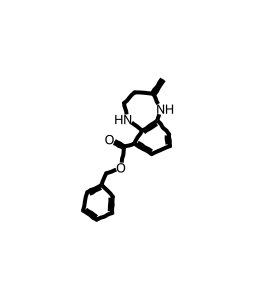 C=C1CCNc2c(cccc2C(=O)OCc2ccccc2)N1